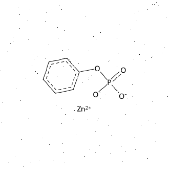 O=P([O-])([O-])Oc1ccccc1.[Zn+2]